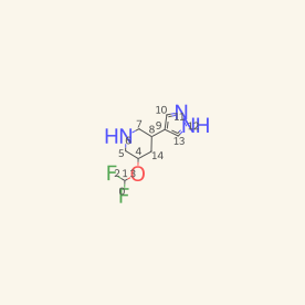 FC(F)OC1CNCC(c2cn[nH]c2)C1